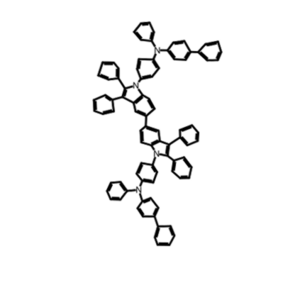 c1ccc(-c2ccc(N(c3ccccc3)c3ccc(-n4c(-c5ccccc5)c(-c5ccccc5)c5cc(-c6ccc7c(c6)c(-c6ccccc6)c(-c6ccccc6)n7-c6ccc(N(c7ccccc7)c7ccc(-c8ccccc8)cc7)cc6)ccc54)cc3)cc2)cc1